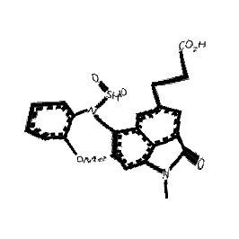 COc1ccccc1N(c1ccc2c3c(cc(CCC(=O)O)cc13)C(=O)N2C)[SH](=O)=O